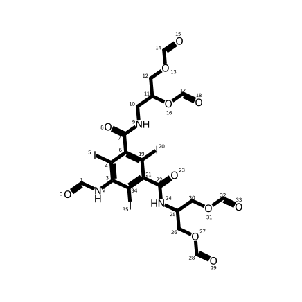 O=CNc1c(I)c(C(=O)NCC(COC=O)OC=O)c(I)c(C(=O)NC(COC=O)COC=O)c1I